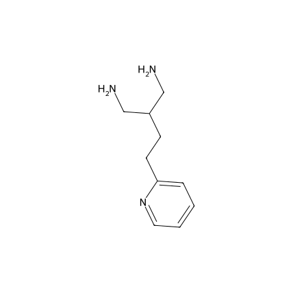 NCC(CN)CCc1ccccn1